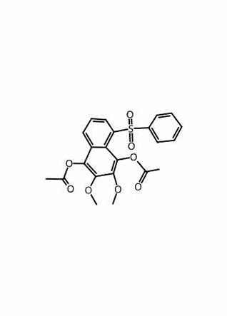 COc1c(OC)c(OC(C)=O)c2c(S(=O)(=O)c3ccccc3)cccc2c1OC(C)=O